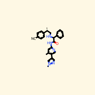 Cc1cc(NC(=O)C(NC[C@@H](C)c2ccc(C#N)cc2)c2ccccc2)ncc1-c1cnn(C)c1